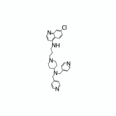 Clc1ccc2c(NCCCN3CCC(N(Cc4ccncc4)Cc4ccncc4)CC3)ccnc2c1